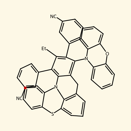 CCc1c(-c2cccc(C#N)c2)c(N2c3ccccc3Oc3ccccc32)c2c(c1-c1cccc(C#N)c1)N1c3ccccc3Sc3cccc(c31)C2